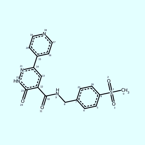 CS(=O)(=O)c1ccc(CNC(=O)c2cc(-c3ccncc3)n[nH]c2=O)cc1